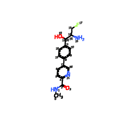 CNC(=O)c1ccc(-c2ccc([C@@H](O)[C@H](N)CF)cc2)cn1